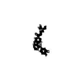 CCN(CC=CC(=O)N1CCc2c(sc3ncnc(Nc4ccc(F)c(Cl)c4)c23)C1)C(C)C